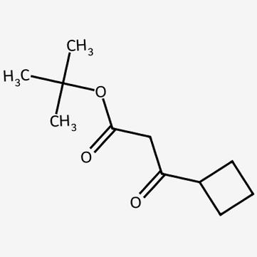 CC(C)(C)OC(=O)CC(=O)C1CCC1